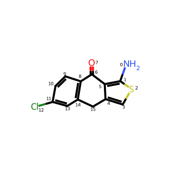 Nc1scc2c1C(=O)c1ccc(Cl)cc1C2